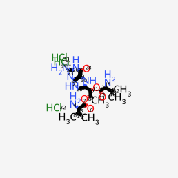 CC(C)C(N)C(=O)OC(C)C(OC(=O)C(N)C(C)C)C1CNc2nc(N)[nH]c(=O)c2N1.Cl.Cl.Cl